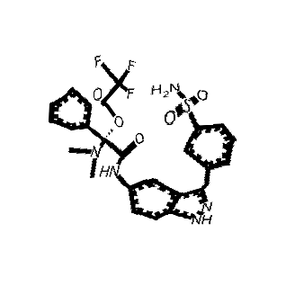 CN(C)[C@](OC(=O)C(F)(F)F)(C(=O)Nc1ccc2[nH]nc(-c3cccc(S(N)(=O)=O)c3)c2c1)c1ccccc1